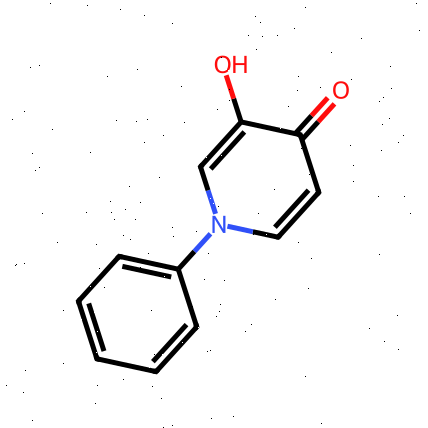 O=c1ccn(-c2ccccc2)cc1O